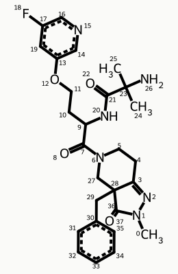 CN1N=C2CCN(C(=O)C(CCOc3cncc(F)c3)NC(=O)C(C)(C)N)CC2(Cc2ccccc2)C1=O